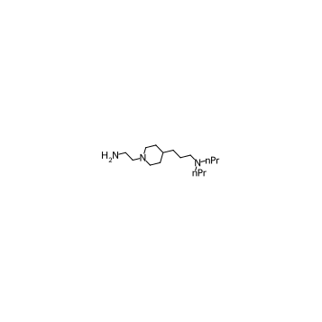 CCCN(CCC)CCCC1CCN(CCN)CC1